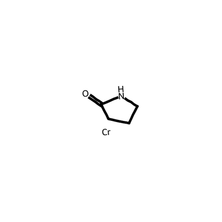 O=C1CCCN1.[Cr]